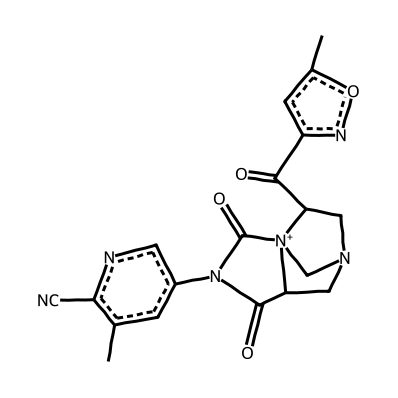 Cc1cc(C(=O)C2CN3CC4C(=O)N(c5cnc(C#N)c(C)c5)C(=O)[N+]24C3)no1